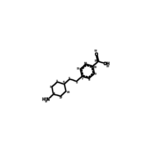 NC1CCC(CCc2ccc(C(=O)O)cc2)CC1